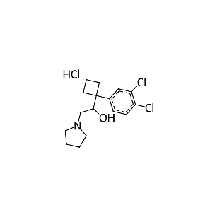 Cl.OC(CN1CCCC1)C1(c2ccc(Cl)c(Cl)c2)CCC1